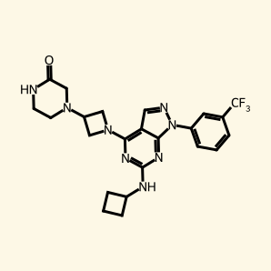 O=C1CN(C2CN(c3nc(NC4CCC4)nc4c3cnn4-c3cccc(C(F)(F)F)c3)C2)CCN1